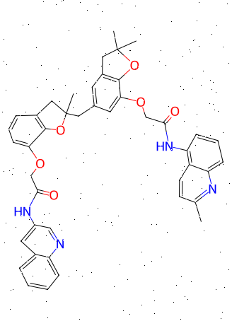 Cc1ccc2c(NC(=O)COc3cc(CC4(C)Cc5cccc(OCC(=O)Nc6cnc7ccccc7c6)c5O4)cc4c3OC(C)(C)C4)cccc2n1